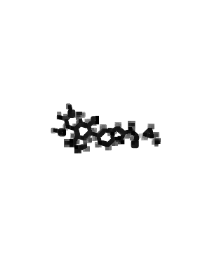 CO[C@H](C)[C@@H](OC)c1c(F)c(Cl)c(-c2ccc3nc(NC(=O)[C@@H]4C[C@@H]4F)cn3c2)c2cn[nH]c12